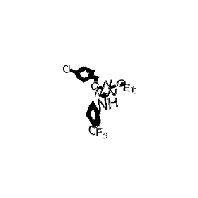 CCOc1nc(Nc2cccc(C(F)(F)F)c2)nc(OCc2ccc(Cl)cc2)n1